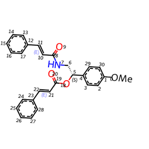 COc1ccc([C@@H](CNC(=O)/C=C/c2ccccc2)OC(=O)/C=C/c2ccccc2)cc1